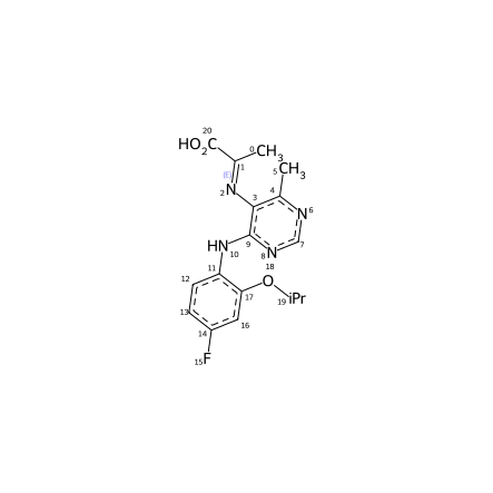 C/C(=N\c1c(C)ncnc1Nc1ccc(F)cc1OC(C)C)C(=O)O